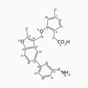 Cc1ccc(CC(=O)O)c(OCc2c(C)oc3ccc(-c4cccc(CN)c4)cc23)c1